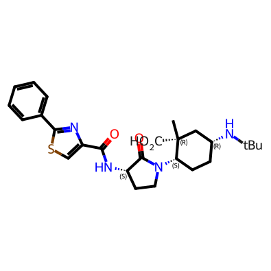 CC(C)(C)N[C@@H]1CC[C@H](N2CC[C@H](NC(=O)c3csc(-c4ccccc4)n3)C2=O)[C@](C)(C(=O)O)C1